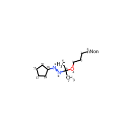 CCCCCCCCCCCCOC(C)(C)/N=N/C1CCCC1